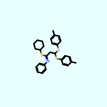 Cc1ccc(SC(CC(=Nc2ccccc2)SC2CCCCC2)Sc2ccc(C)cc2)cc1